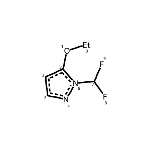 CCOc1ccnn1C(F)F